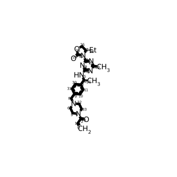 C=CC(=O)N1CCN(Cc2ccc([C@H](C)Nc3nc(C)nc(N4C(=O)OC[C@@H]4CC)n3)cc2)CC1